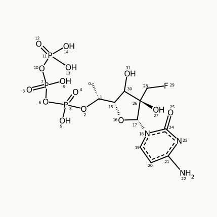 C[C@@H](OP(=O)(O)OP(=O)(O)OP(=O)(O)O)[C@H]1O[C@@H](n2ccc(N)nc2=O)[C@@](O)(CF)C1O